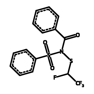 O=C(c1ccccc1)N(SC(F)C(F)(F)F)S(=O)(=O)c1ccccc1